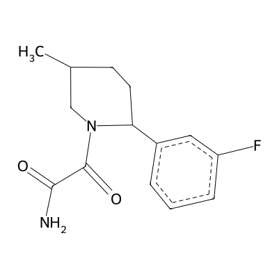 CC1CCC(c2cccc(F)c2)N(C(=O)C(N)=O)C1